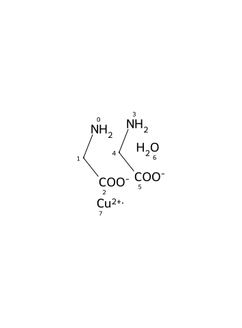 NCC(=O)[O-].NCC(=O)[O-].O.[Cu+2]